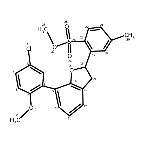 COc1ccc(Cl)cc1-c1cccc2c1OC(c1cc(C)ccc1S(=O)(=O)OC)C2